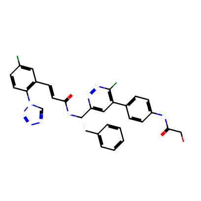 O=C(C=Cc1cc(Cl)ccc1-n1cnnn1)N[C@@H](Cc1ccccc1)c1cc(-c2ccc(NC(=O)CO)cc2)c(Cl)nn1